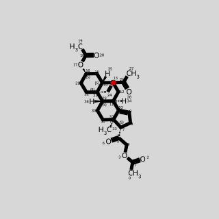 CC(=O)OCC(=O)[C@H]1CC=C2[C@@H]3CC[C@H]4C[C@@H](OC(C)=O)CC[C@]4(COC(C)=O)[C@H]3CC[C@@]21C